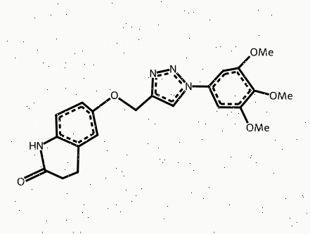 COc1cc(-n2cc(COc3ccc4c(c3)CCC(=O)N4)nn2)cc(OC)c1OC